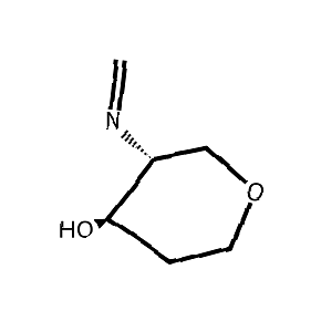 C=N[C@@H]1COCC[C@H]1O